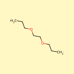 [CH2]CCOCCOCC[CH2]